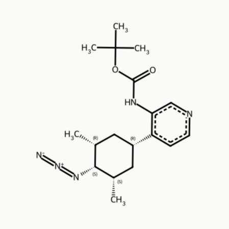 C[C@@H]1C[C@H](c2ccncc2NC(=O)OC(C)(C)C)C[C@H](C)[C@@H]1N=[N+]=[N-]